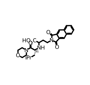 CC(C)C[C@@H](NC(CCN1C(=O)c2cc3ccccc3cc2C1=O)C(=O)O)C(=O)N1CCOCC1